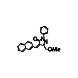 COCC1=NN(c2ccccc2)C(=O)/C1=C\c1ccc2ccccc2c1